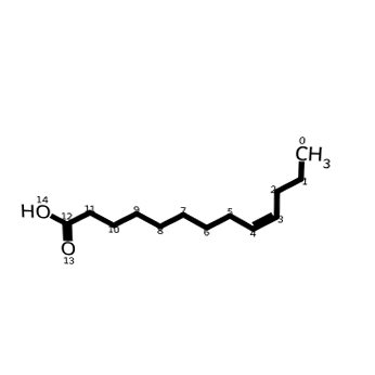 CCC/C=C\CCCCCCCC(=O)O